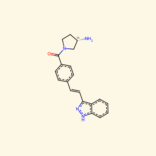 N[C@H]1CCN(C(=O)c2ccc(C=Cc3n[nH]c4ccccc34)cc2)C1